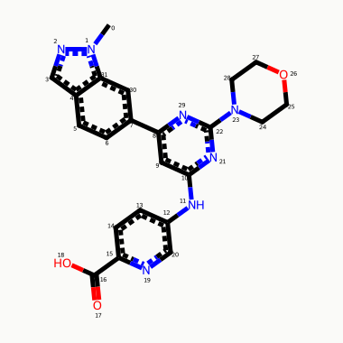 Cn1ncc2ccc(-c3cc(Nc4ccc(C(=O)O)nc4)nc(N4CCOCC4)n3)cc21